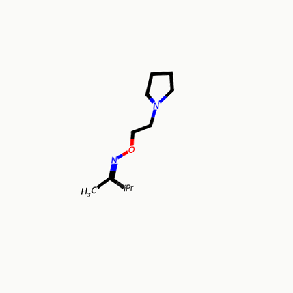 C/C(=N/OCCN1CCCC1)C(C)C